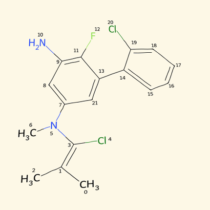 CC(C)=C(Cl)N(C)c1cc(N)c(F)c(-c2ccccc2Cl)c1